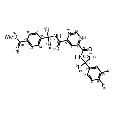 [2H]C([2H])(NC(=O)c1cc(C(=O)NC([2H])([2H])c2ccc(F)c(C)c2)ncn1)c1ccc(C(=O)OC)cc1